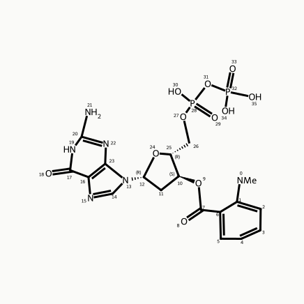 CNc1ccccc1C(=O)O[C@H]1C[C@H](n2cnc3c(=O)[nH]c(N)nc32)O[C@@H]1COP(=O)(O)OP(=O)(O)O